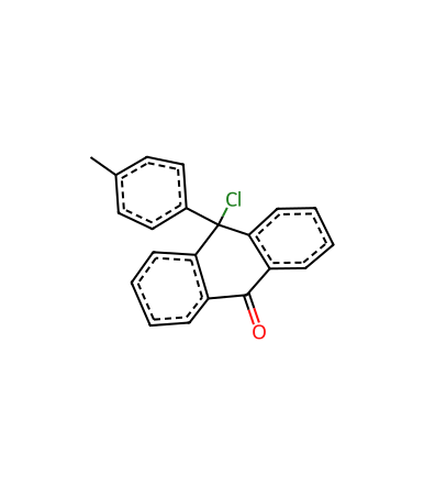 Cc1ccc(C2(Cl)c3ccccc3C(=O)c3ccccc32)cc1